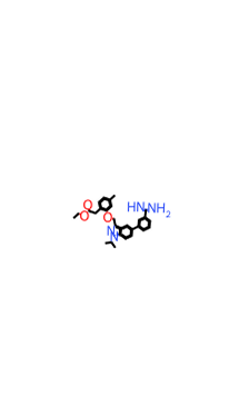 CCOC(=O)Cc1ccc(C)cc1OCc1nn(C(C)C)c2ccc(-c3cccc(C(=N)N)c3)cc12